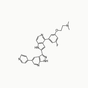 CN(C)CCOc1cc(F)cc(-c2nccc3[nH]c(-c4n[nH]c5ncc(-c6ccncc6)cc45)cc23)c1